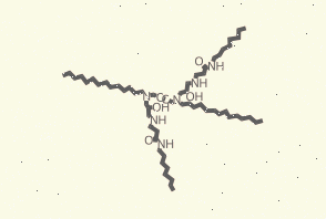 CCCCCCCCCCCCCCN(CCCCN(CCCCCCCCCCCCCC)CC(O)CNCCC(=O)NCCCCCCCC)CC(O)CNCCC(=O)NCCCCCCCC